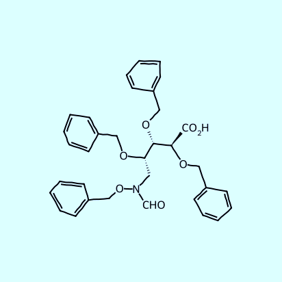 O=CN(C[C@H](OCc1ccccc1)[C@H](OCc1ccccc1)[C@H](OCc1ccccc1)C(=O)O)OCc1ccccc1